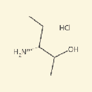 CC[C@@H](N)C(C)O.Cl